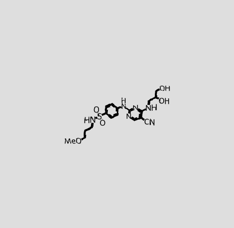 COCCCNS(=O)(=O)c1ccc(Nc2ncc(C#N)c(NCC(O)CO)n2)cc1